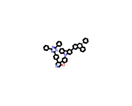 c1ccc(-c2nc(-c3ccccc3)nc(-c3ccc(-c4cncc5oc6ccc(-n7c8ccccc8c8cc(-c9ccc%10c(c9)-c9ccccc9[C@@H](c9ccccc9)C%10)ccc87)cc6c45)cc3)n2)cc1